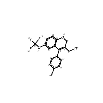 Fc1ccc(C2=C(CCl)COc3ccc(OC(F)(F)F)cc32)cc1